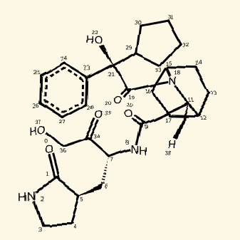 O=C1NCC[C@@H]1C[C@@H](NC(=O)[C@H]1C2CCC(CC2)N1C(=O)[C@](O)(c1ccccc1)C1CCCC1)C(=O)CO